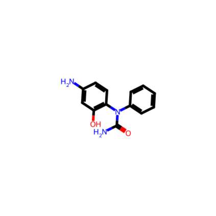 NC(=O)N(c1ccccc1)c1ccc(N)cc1O